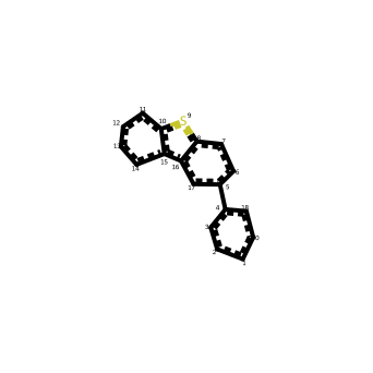 [c]1cccc(-c2ccc3sc4ccccc4c3c2)c1